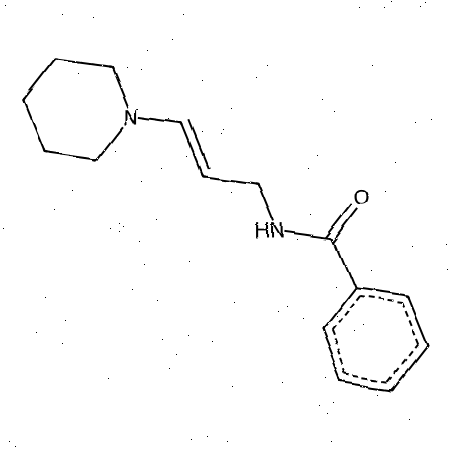 O=C(NCC=CN1CCCCC1)c1ccccc1